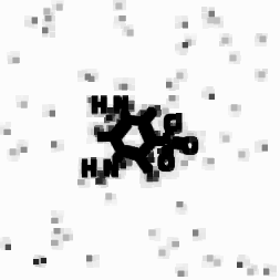 Cc1c(N)c(C)c(S(=O)(=O)Cl)c(C)c1N